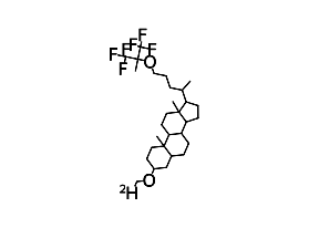 [2H]COC1CCC2(C)C(CCC3C2CCC2(C)C(C(C)CCCOC(C)(C(F)(F)F)C(F)(F)F)CCC32)C1